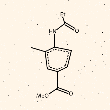 CCC(=O)Nc1ccc(C(=O)OC)cc1C